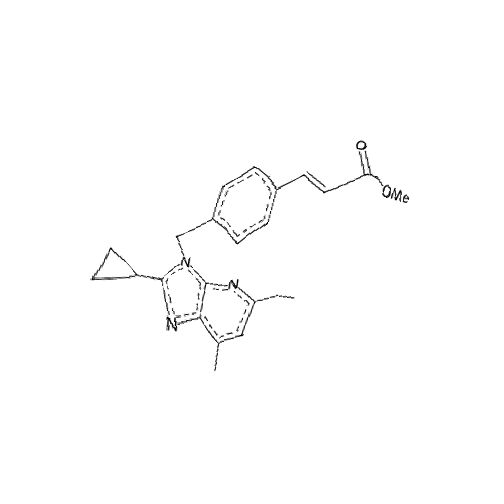 COC(=O)C=Cc1ccc(Cn2c(C3CC3)nc3c(C)cc(C)nc32)cc1